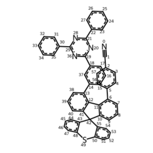 N#Cc1ccc(-c2cccc3c2-c2c(-c4cccc(-c5nc(-c6ccccc6)nc(-c6ccccc6)n5)c4)cccc2C32c3ccccc3Sc3ccccc32)cc1